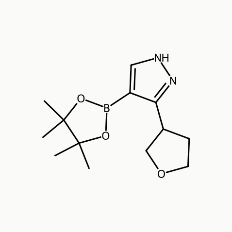 CC1(C)OB(c2c[nH]nc2C2CCOC2)OC1(C)C